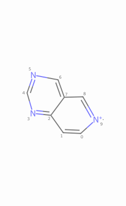 C1=Cc2ncncc2C=[N+]1